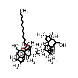 CC1=C[C@H]2[C@@]3(O)[C@H](C)[C@@H](O)[C@]4(O)[C@@H]([C@@H]3C=C(CO)C[C@]2(O)C1=O)C4(C)C.CCCCCCCCCCCCCC(=O)O[C@@]12[C@H](OC(C)=O)[C@@H](C)[C@@]3(O)[C@@H](C=C(CO)C[C@]4(O)C(=O)C(C)=C[C@@H]34)[C@H]1C2(C)C